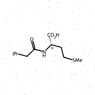 CSCC[C@H](NC(=O)CC(C)C)C(=O)O